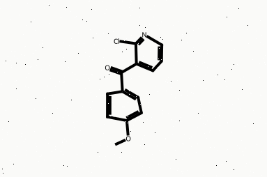 COc1ccc(C(=O)c2cccnc2Cl)cc1